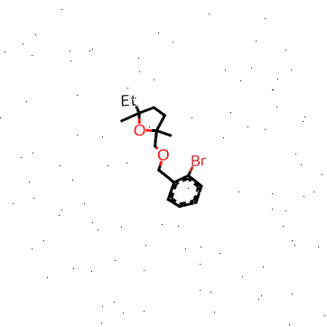 CCC1(C)CCC(C)(COCc2ccccc2Br)O1